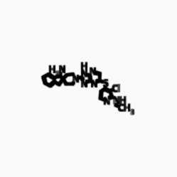 CCNc1nccc(Sc2cnc3[nH]c(N4CCC5(CC4)Cc4ccccc4[C@H]5N)nc3n2)c1Cl